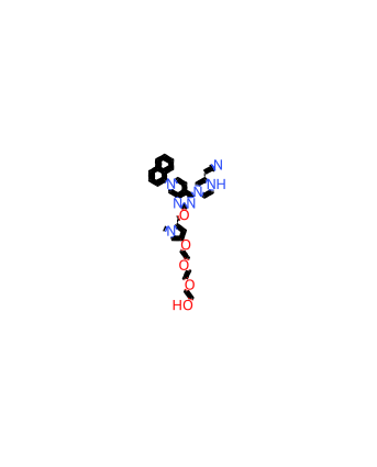 CN1C[C@H](OCCOCCOCCO)C[C@H]1COc1nc2c(c(N3CCN[C@@H](CC#N)C3)n1)CCN(c1cccc3ccccc13)C2